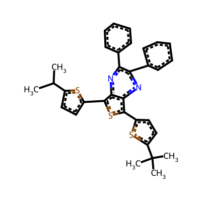 CC(C)c1ccc(-c2sc(-c3ccc(C(C)(C)C)s3)c3nc(-c4ccccc4)c(-c4ccccc4)nc23)s1